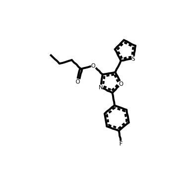 CCCC(=O)Oc1nc(-c2ccc(F)cc2)oc1-c1cccs1